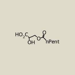 CCCCCC(=O)OCC(O)C(=O)O